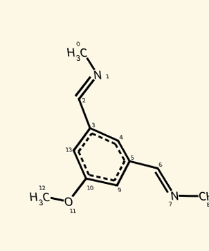 C/N=C/c1cc(/C=N/C)cc(OC)c1